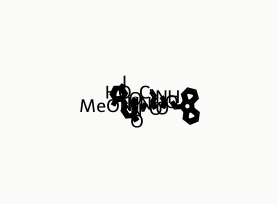 COc1ccc(I)cc1-n1ccc(=O)n(CNC(=O)C(CC(=O)O)NC(=O)OCC2c3ccccc3-c3ccccc32)c1=O